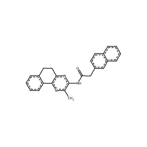 Cc1nc2c(nc1NC(=O)Cc1ccc3ccccc3c1)CCc1ccccc1-2